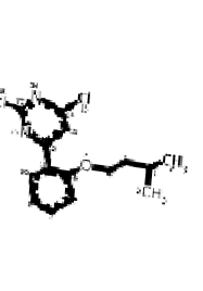 CC(C)CCOc1ccccc1-c1cc(Cl)nc(Cl)n1